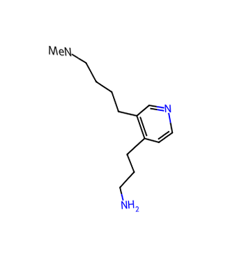 CNCCCCc1cnccc1CCCN